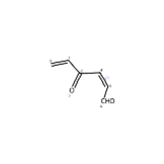 C=CC(=O)/C=C\C=O